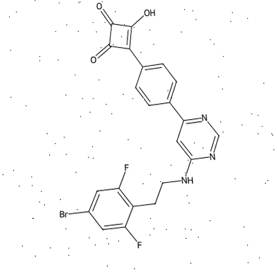 O=c1c(O)c(-c2ccc(-c3cc(NCCc4c(F)cc(Br)cc4F)ncn3)cc2)c1=O